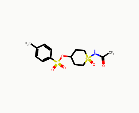 Cc1ccc(S(=O)(=O)OC2CC[SH](=O)(NC(=O)C(F)(F)F)CC2)cc1